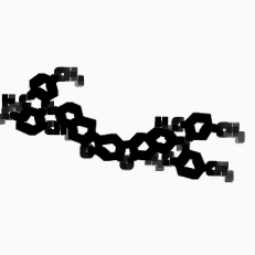 Cc1ccc(C)c(N(c2ccc3cc4c(cc3c2)oc2cc3oc5cc6cc(N(c7cc(C)ccc7C)c7cc(C)ccc7C)ccc6cc5c3cc24)c2cc(C)ccc2C)c1